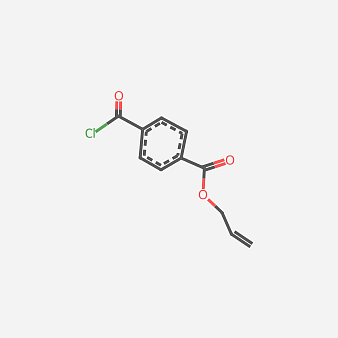 C=CCOC(=O)c1ccc(C(=O)Cl)cc1